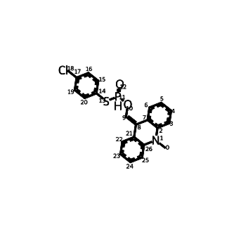 CN1c2ccccc2C(=CO[PH](=O)Sc2ccc(Cl)cc2)c2ccccc21